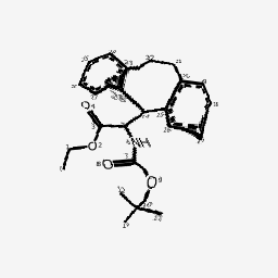 CCOC(=O)C(NC(=O)OC(C)(C)C)C1c2ccccc2CCc2ccccc21